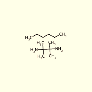 CC(C)(N)C(C)(C)N.CCCCCC